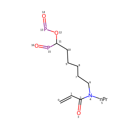 C=CC(=O)N(CCC)CCCCCC(OP=O)P=O